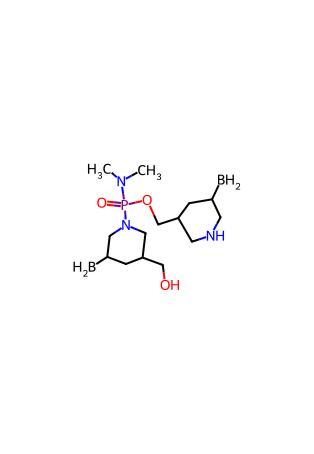 BC1CNCC(COP(=O)(N(C)C)N2CC(B)CC(CO)C2)C1